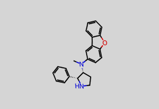 CN(c1ccc2oc3ccccc3c2c1)[C@@H]1CCN[C@@H]1c1ccccc1